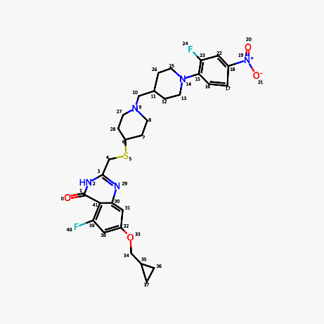 O=c1[nH]c(CSC2CCN(CC3CCN(c4ccc([N+](=O)[O-])cc4F)CC3)CC2)nc2cc(OCC3CC3)cc(F)c12